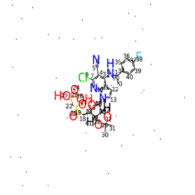 C[C@@H](Nc1c(C#N)c(Cl)nc2c1ccn2[C@@H]1O[C@H](CS(=O)(=O)CP(=O)(O)O)[C@H]2OC(C)(C)O[C@H]21)c1ccc(F)cc1